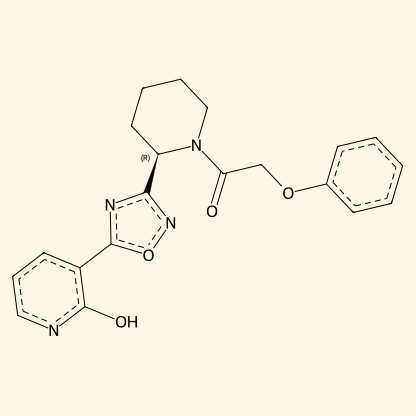 O=C(COc1ccccc1)N1CCCC[C@@H]1c1noc(-c2cccnc2O)n1